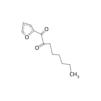 CCCCCCC(=O)C(=O)c1ccco1